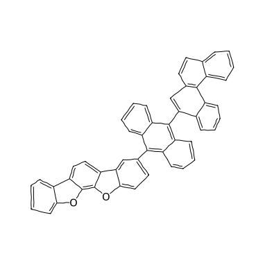 c1ccc2c(c1)ccc1cc(-c3c4ccccc4c(-c4ccc5oc6c(ccc7c8ccccc8oc76)c5c4)c4ccccc34)c3ccccc3c12